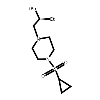 CC[C@@H](CN1CCN(S(=O)(=O)C2CC2)CC1)C(C)(C)C